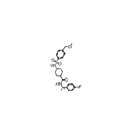 COCc1ccc(S(=O)(=O)NC2CCC(C(=O)N[C@H](C)c3ccc(F)cc3)CC2)cc1